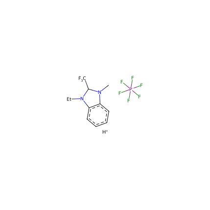 CCN1c2ccccc2N(C)C1C(F)(F)F.F[P-](F)(F)(F)(F)F.[H+]